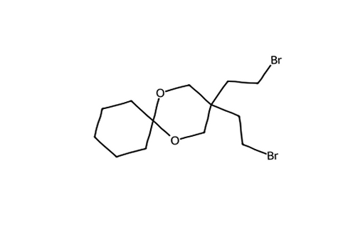 BrCCC1(CCBr)COC2(CCCCC2)OC1